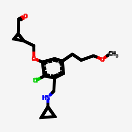 COCCCc1cc(CNC2CC2)c(Cl)c(OCC2CC2C=O)c1